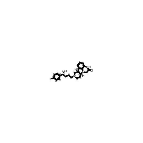 O=C1CN2c3c(cccc3[C@@H]3CN(CCC[C@@H](O)c4ccc(F)cc4)CC[C@@H]32)N1